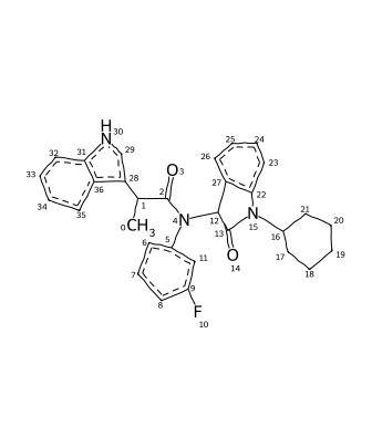 CC(C(=O)N(c1cccc(F)c1)C1C(=O)N(C2CCCCC2)c2ccccc21)c1c[nH]c2ccccc12